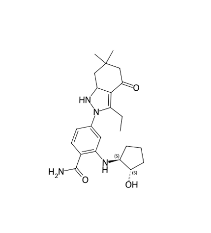 CCC1=C2C(=O)CC(C)(C)CC2NN1c1ccc(C(N)=O)c(N[C@H]2CCC[C@@H]2O)c1